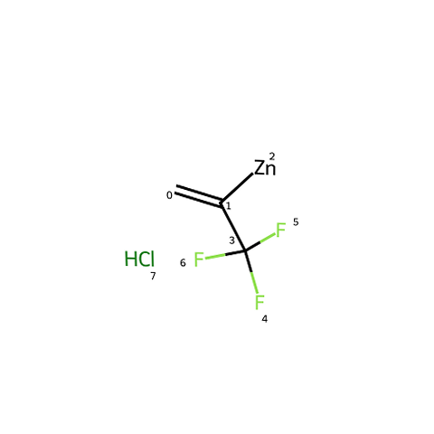 C=[C]([Zn])C(F)(F)F.Cl